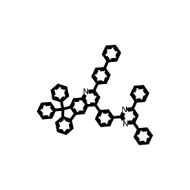 c1ccc(-c2ccc(-c3cc(-c4cccc(-c5nc(-c6ccccc6)cc(-c6ccccc6)n5)c4)c4cc5c(cc4n3)C(c3ccccc3)(c3ccccc3)c3ccccc3-5)cc2)cc1